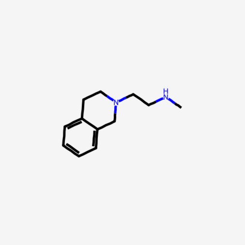 CNCCN1CCc2ccccc2C1